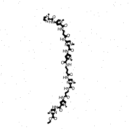 CCOC(=O)c1nc(NC(=O)c2cc(NC(=O)CCNC(=O)c3nc(NC(=O)CCCNC(=O)c4cc(NC(=O)c5nc(NC(=O)CCNC(=O)c6cc(NC(=O)c7nccn7C)cn6C)cn5C)cn4C)cn3C)cn2C)cn1C